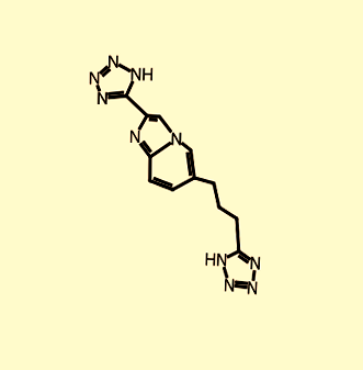 c1cc2nc(-c3nnn[nH]3)cn2cc1CCCc1nnn[nH]1